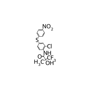 C[C@@](O)(C(=O)Nc1ccc(Sc2ccc([N+](=O)[O-])cc2)cc1Cl)C(F)(F)F